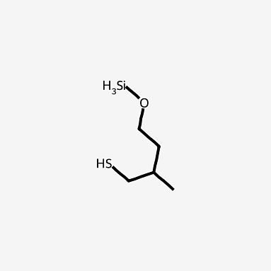 CC(CS)CCO[SiH3]